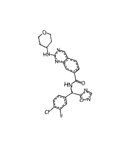 O=C(NC(c1ccc(Cl)c(F)c1)c1ncno1)c1ccc2cnc(NC3CCOCC3)nc2c1